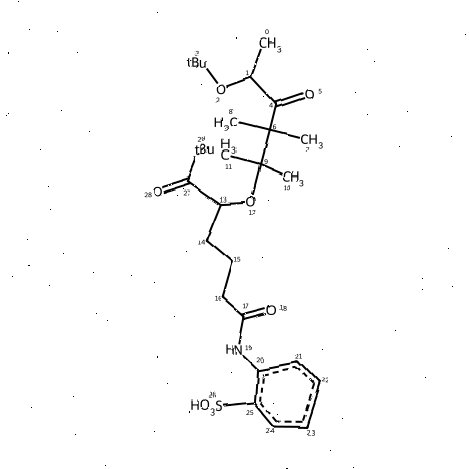 CC(OC(C)(C)C)C(=O)C(C)(C)C(C)(C)OC(CCCC(=O)Nc1ccccc1S(=O)(=O)O)C(=O)C(C)(C)C